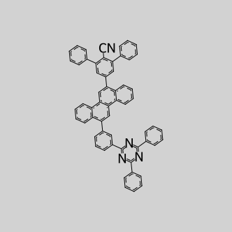 N#Cc1c(-c2ccccc2)cc(-c2cc3c4ccccc4c(-c4cccc(-c5nc(-c6ccccc6)nc(-c6ccccc6)n5)c4)cc3c3ccccc23)cc1-c1ccccc1